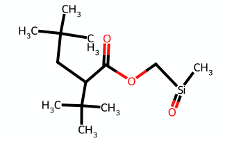 C[Si](=O)COC(=O)C(CC(C)(C)C)C(C)(C)C